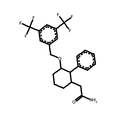 NC(=O)CC1CCCC(OCc2cc(C(F)(F)F)cc(C(F)(F)F)c2)C1c1ccccc1